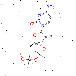 C=C1C(n2ccc(N)nc2=O)O[C@H](C)[C@H]1O[Si](C)(C)O[Si](C)(C)OC